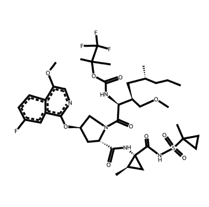 CCC[C@@H](C)C[C@@H](COC)[C@H](NC(=O)OC(C)(C)C(F)(F)F)C(=O)N1C[C@H](Oc2ncc(OC)c3ccc(F)cc23)C[C@H]1C(=O)N[C@]1(C(=O)NS(=O)(=O)C2(C)CC2)C[C@H]1C